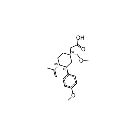 C=C(C)[C@@H]1CC[C@@](COC)(CC(=O)O)C[C@H]1c1ccc(OC)cc1